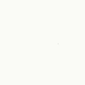 OCC1=Cc2c(Cl)cccc21